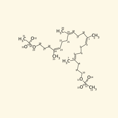 CC(=CCCC=C(C)CCCOS(C)(=O)=O)CCC=C(C)CCC=C(C)CCCOS(C)(=O)=O